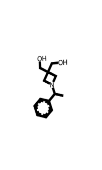 CC(c1ccccc1)N1CC(CO)(CO)C1